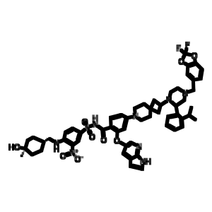 CC(C)c1ccccc1C1CN(Cc2ccc3c(c2)OC(F)(F)O3)CCN1C1CC2(CCN(c3ccc(C(=O)NS(=O)(=O)c4ccc(NC[C@H]5CC[C@](C)(O)CC5)c([N+](=O)[O-])c4)c(Oc4cnc5[nH]ccc5c4)c3)CC2)C1